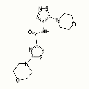 O=C(Nc1cnsc1N1CCOCC1)c1csc(N2CCOCC2)n1